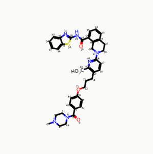 CN1CCN(C(=O)c2ccc(OCCCc3ccc(N4CCc5cccc(C(=O)Nc6nc7ccccc7s6)c5C4)nc3C(=O)O)cc2)CC1